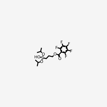 CC(C)O[Si](O)(CCCOC(=O)c1c(F)c(F)c(F)c(F)c1F)OC(C)C